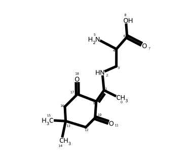 CC(NCC(N)C(=O)O)=C1C(=O)CC(C)(C)CC1=O